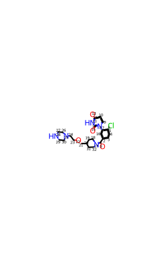 O=C(c1ccc(Cl)c(-n2ccc(=O)[nH]c2=O)c1)N1CCC(COCCN2CCNCC2)CC1